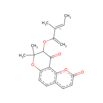 C=C(OC1C(=O)c2c(ccc3ccc(=O)oc23)OC1(C)C)/C(C)=C/C